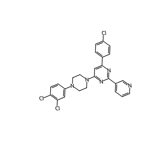 Clc1ccc(-c2cc(N3CCN(c4ccc(Cl)c(Cl)c4)CC3)nc(-c3cccnc3)n2)cc1